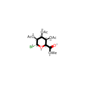 COC(=O)C1O[C@H](Br)[C@@H](OC(C)=O)[C@@H](OC(C)=O)[C@H]1OC(C)=O